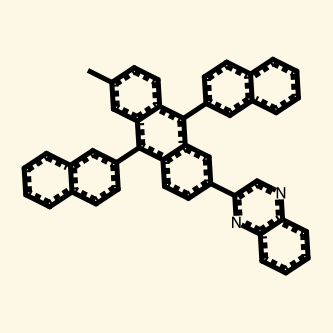 Cc1ccc2c(-c3ccc4ccccc4c3)c3cc(-c4cnc5ccccc5n4)ccc3c(-c3ccc4ccccc4c3)c2c1